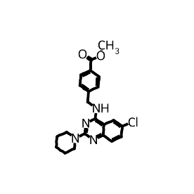 COC(=O)c1ccc(CNc2nc(N3CCCCC3)nc3ccc(Cl)cc23)cc1